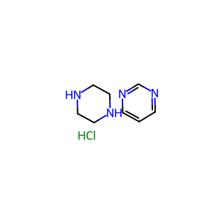 C1CNCCN1.Cl.c1cncnc1